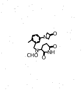 Cc1ccc(N2CC(=O)C2)cc1CN(C=O)C1CCC(=O)NC1=O